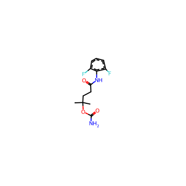 CC(C)(CCC(=O)Nc1c(F)cccc1F)OC(N)=O